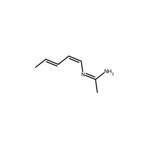 C/C=C/C=C\N=C(\C)N